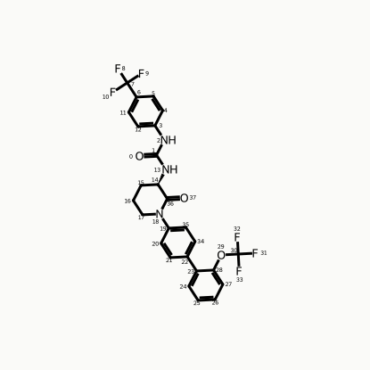 O=C(Nc1ccc(C(F)(F)F)cc1)N[C@@H]1CCCN(c2ccc(-c3ccccc3OC(F)(F)F)cc2)C1=O